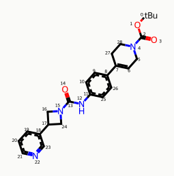 CC(C)(C)OC(=O)N1CC=C(c2ccc(NC(=O)N3CC(c4cccnc4)C3)cc2)CC1